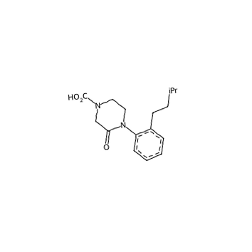 CC(C)CCc1ccccc1N1CCN(C(=O)O)CC1=O